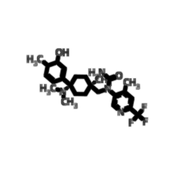 Cc1cc(C(F)(F)F)ncc1N(C[C@]1(C)CC[C@@](C2=CC(O)C(C)C=C2)(N(C)C)CC1)C(N)=O